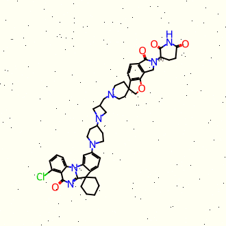 O=C1CC[C@@H](N2Cc3c(ccc4c3OCC43CCN(CC4CN(C5CCN(c6ccc7c(c6)-n6c(nc(=O)c8c(Cl)cccc86)C76CCCCC6)CC5)C4)CC3)C2=O)C(=O)N1